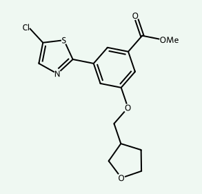 COC(=O)c1cc(OCC2CCOC2)cc(-c2ncc(Cl)s2)c1